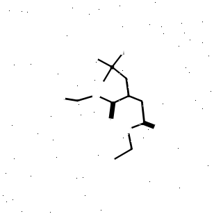 CC(C)C(C)(C)CC(CC(=O)OCC(C)(C)C)C(=O)OCC(C)(C)C